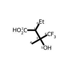 CCC(C(=O)O)C(C)(O)C(F)(F)F